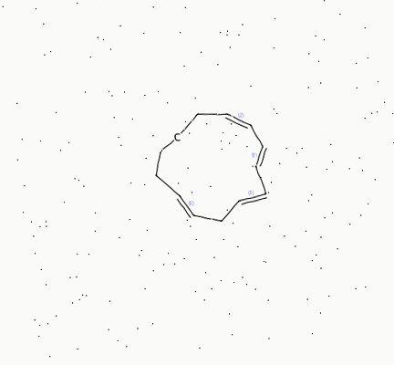 [C]1=C/C=C\CCCC/C=C/C/C=C/1